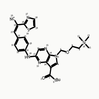 CC(C)(C)C(=O)c1cn(COCC[Si](C)(C)C)c2ncc(Nc3ccc(C=C(C#N)c4nccs4)cc3)nc12